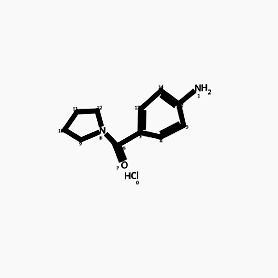 Cl.Nc1ccc(C(=O)N2CCCC2)cc1